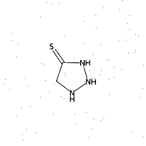 S=C1CNNN1